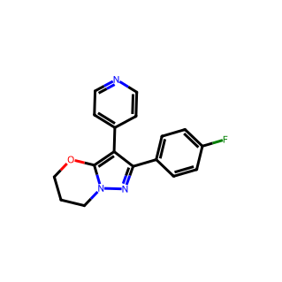 Fc1ccc(-c2nn3c(c2-c2ccncc2)OCCC3)cc1